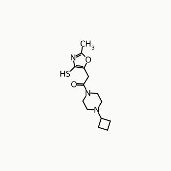 Cc1nc(S)c(CC(=O)N2CCN(C3CCC3)CC2)o1